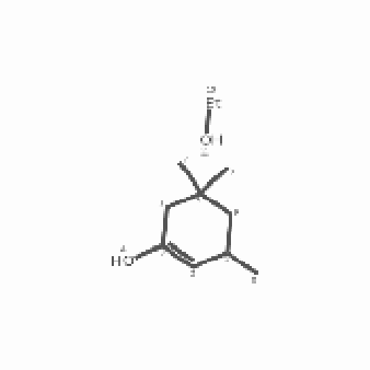 CC1C=C(O)CC(C)(C)C1.CCO